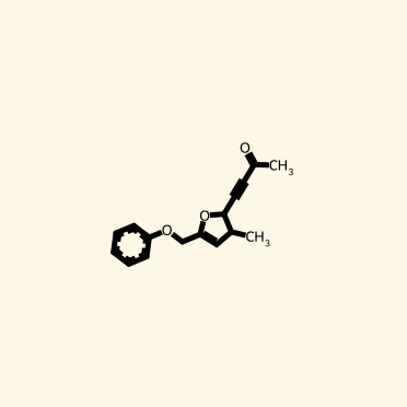 CC(=O)C#CC1OC(COc2ccccc2)=CC1C